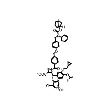 O=C([O-])C1CN(C(=O)c2ccc(COc3ccc(CN(C(=O)O[C@H]4CN5CCC4CC5)c4ccccc4)cc3)cc2)C1[C@@H](Cc1c(Cl)c[n+](O)cc1Cl)c1ccc(OC(F)F)c(OCC2CC2)c1